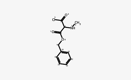 CNC(C(=O)Cl)C(=O)OCc1ccccc1